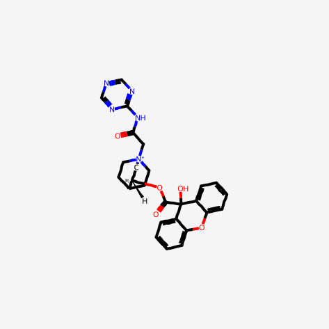 O=C(C[N+]12CCC(CC1)[C@@H](OC(=O)C1(O)c3ccccc3Oc3ccccc31)C2)Nc1ncncn1